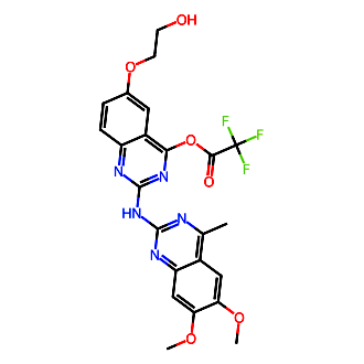 COc1cc2nc(Nc3nc(OC(=O)C(F)(F)F)c4cc(OCCO)ccc4n3)nc(C)c2cc1OC